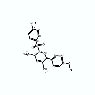 CCOc1ccc(C2ON(S(=O)(=O)c3ccc(NC(C)=O)cc3)C(C(=O)O)C=C2C)cc1